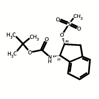 CC(C)(C)OC(=O)N[C@H]1c2ccccc2C[C@H]1OS(C)(=O)=O